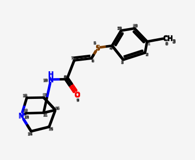 Cc1ccc(S/C=C/C(=O)NC2CN3CCC2CC3)cc1